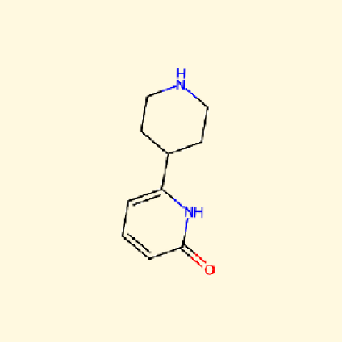 O=c1cccc(C2CCNCC2)[nH]1